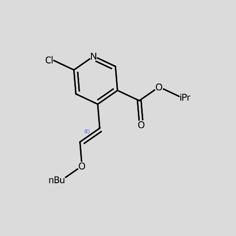 CCCCO/C=C/c1cc(Cl)ncc1C(=O)OC(C)C